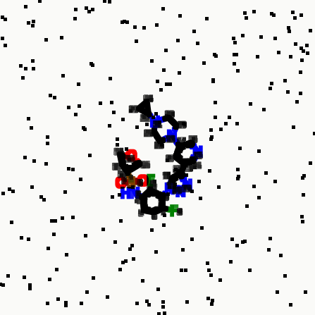 O=S(=O)(Nc1ccc(F)c(-n2cc(-c3cncc(N4CCN(C5CC5)CC4)c3)nn2)c1F)c1ccoc1